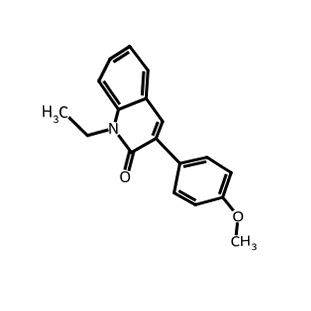 CCn1c(=O)c(-c2ccc(OC)cc2)cc2ccccc21